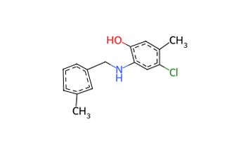 Cc1cccc(CNc2cc(Cl)c(C)cc2O)c1